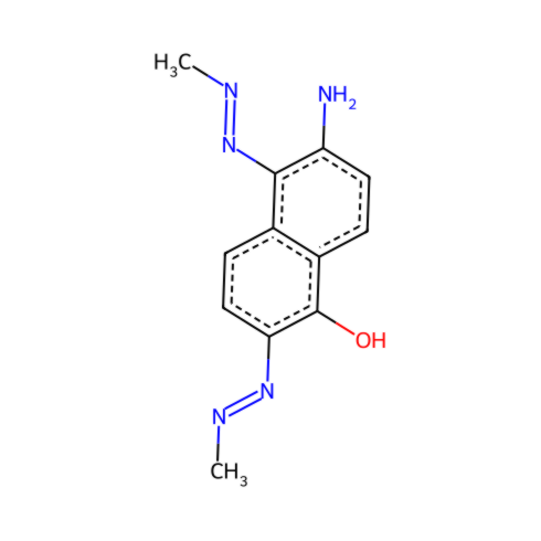 CN=Nc1ccc2c(N=NC)c(N)ccc2c1O